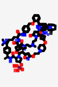 CC(C)[C@@H](C(=O)N1C[C@H](OP(=O)(O)O)C[C@H]1C(=O)N[C@@H](C)c1ccc(C#N)cc1)c1cc(OCCN2CCC(OC3CC(Oc4cc(N5C6CC[C@@H]5CN(c5cc(-c7ccccc7OCc7ccc(NC(=O)[C@H](CCCCN(C)C)NC(=O)C8(C(=O)NCCN(C)CCN9C(=O)C=CC9=O)CCC8)cc7)nnc5N)C6)ccn4)C3)CC2)no1